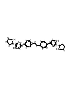 c1cc(-c2c[nH]c([C@@H]3CCCN3)n2)ccc1CCc1ccc(-c2c[nH]c([C@@H]3CCCN3)n2)cc1